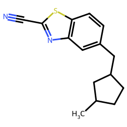 CC1CCC(Cc2ccc3sc(C#N)nc3c2)C1